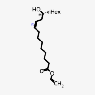 C=COC(=O)CCCCCCC/C=C\C[C@H](O)CCCCCC